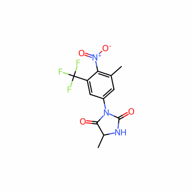 Cc1cc(N2C(=O)NC(C)C2=O)cc(C(F)(F)F)c1[N+](=O)[O-]